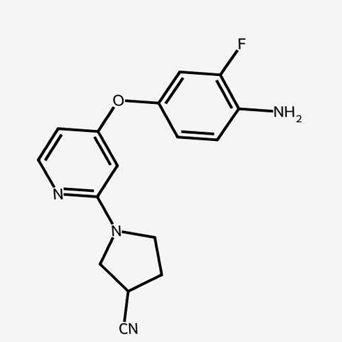 N#CC1CCN(c2cc(Oc3ccc(N)c(F)c3)ccn2)C1